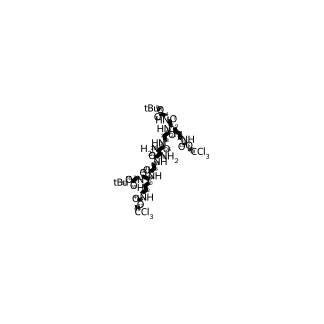 CC(C)(C)OC(=O)CNC(=O)[C@H](CCCCNC(=O)OCC(Cl)(Cl)Cl)NC(=O)CCNC(=O)[C@@H](N)[C@H](N)C(=O)NCCC(=O)N[C@@H](CCCCNC(=O)OCC(Cl)(Cl)Cl)C(=O)NCC(=O)OC(C)(C)C